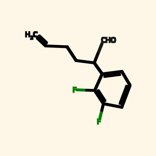 C=CCCC(C=O)c1cccc(F)c1F